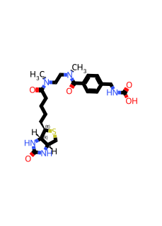 CN(CCN(C)C(=O)c1ccc(CNC(=O)O)cc1)C(=O)CCCC[C@H]1SC[C@H]2NC(=O)N[C@H]21